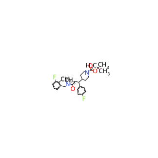 Cc1c(F)cccc1CN(C)C(=O)CC(c1ccc(F)cc1)C1CCN(C(=O)OC(C)(C)C)CC1